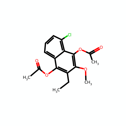 CCc1c(OC)c(OC(C)=O)c2c(Cl)cccc2c1OC(C)=O